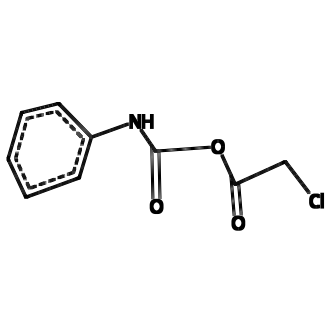 O=C(CCl)OC(=O)Nc1ccccc1